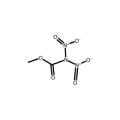 COC(=O)N([N+](=O)[O-])[N+](=O)[O-]